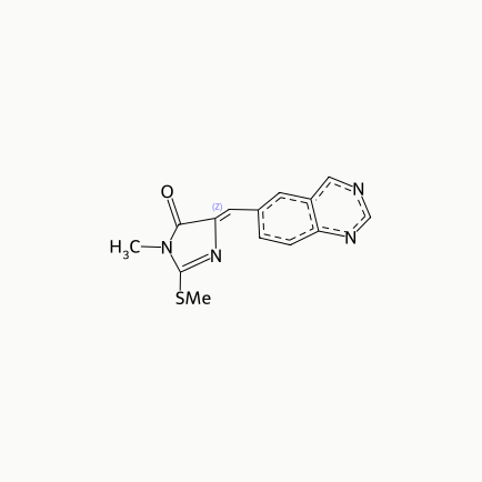 CSC1=N/C(=C\c2ccc3ncncc3c2)C(=O)N1C